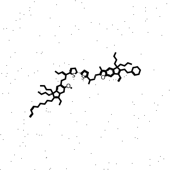 C=C/C=C\CCCCCC1=C(CC)C2CC(OC)=C(CC/C(=C\CC)C3=CC[C@H](c4ccc(C(C)CCc5oc6cc7c(cc6c5C)C(CCCC)(CCCC)C(CCC5=CCCCC5)=C7C=C)s4)S3)C=C2C1(CCCC)CCCC